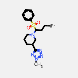 CC(C)CCC(N1CCCC(c2nnn(C)n2)C1)S(=O)(=O)c1ccccc1